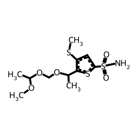 COC(C)OCOC(C)c1sc(S(N)(=O)=O)cc1SC